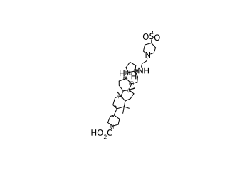 CC1(C)C(C2=CC[C@H](C(=O)O)CC2)=CC[C@@]2(C)C1CC[C@]1(C)C2CC[C@@H]2[C@H]3CCC[C@]3(NCCN3CCC(S(C)(=O)=O)CC3)CC[C@]21C